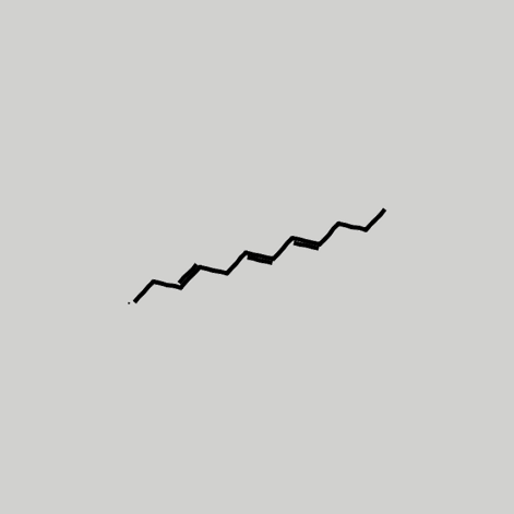 [CH2]CC=CCC=CC=CCCC